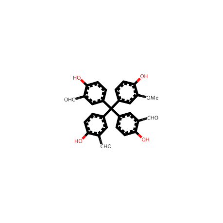 COc1cc(C(c2ccc(O)c(C=O)c2)(c2ccc(O)c(C=O)c2)c2ccc(O)c(C=O)c2)ccc1O